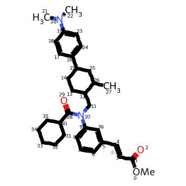 COC(=O)/C=C/c1cccc(N(CC2CCC(c3ccc(N(C)C)cc3)CC2C)C(=O)C2CCCCC2)c1